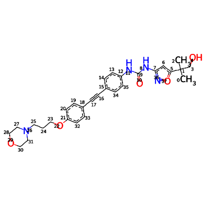 CC(C)(CO)c1cc(NC(=O)Nc2ccc(C#Cc3ccc(OCCCN4CCOCC4)cc3)cc2)no1